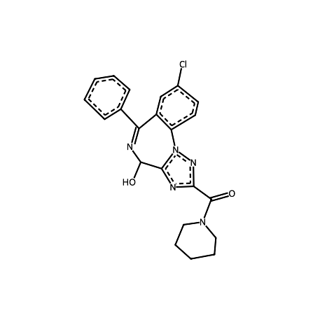 O=C(c1nc2n(n1)-c1ccc(Cl)cc1C(c1ccccc1)=NC2O)N1CCCCC1